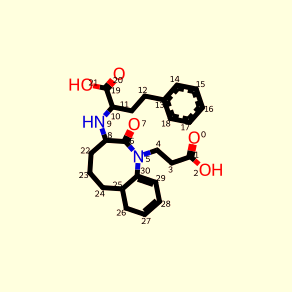 O=C(O)CCN1C(=O)C(NC(CCc2ccccc2)C(=O)O)CCCC2CC=CC=C21